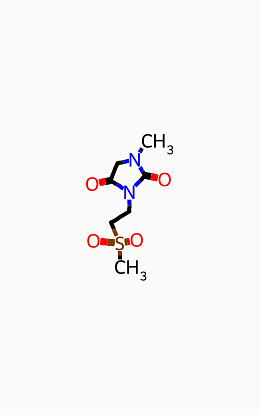 CN1CC(=O)N(CCS(C)(=O)=O)C1=O